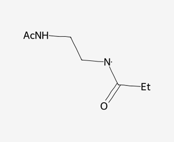 CCC(=O)[N]CCNC(C)=O